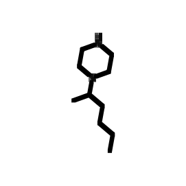 CCCCC(C)N1CCNCC1